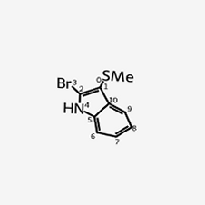 CSc1c(Br)[nH]c2ccccc12